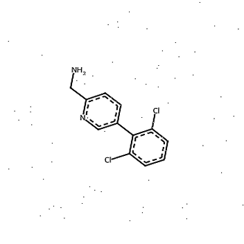 NCc1ccc(-c2c(Cl)cccc2Cl)cn1